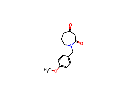 COc1ccc(CN2CCCC(=O)CC2=O)cc1